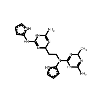 CC1N=C(N)NC(N(CCC2N=C(N)NC(Nc3ccc[nH]3)=N2)c2ccc[nH]2)=N1